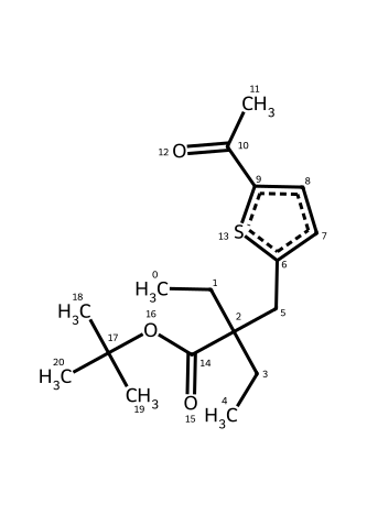 CCC(CC)(Cc1ccc(C(C)=O)s1)C(=O)OC(C)(C)C